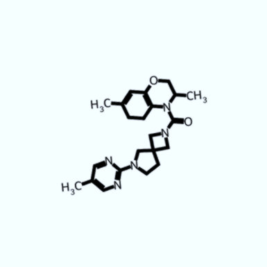 CC1=CC2=C(CC1)N(C(=O)N1CC3(CCN(c4ncc(C)cn4)C3)C1)C(C)CO2